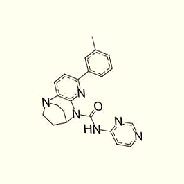 Cc1cccc(-c2ccc3c(n2)N(C(=O)Nc2ccncn2)C2CCN3CC2)c1